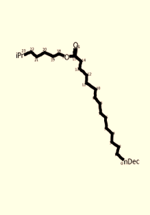 CCCCCCCCCCCCCCCCCCCCCCCCC(=O)OCCCCCC(C)C